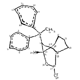 C[Si](c1ccccc1)(c1ccccc1)C1[C@H]2OP(Cl)N3CCC[C@]123